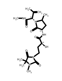 C=C(C)[C@@H](C(=O)NC)N1C(=O)[C@@H](NC(=O)[C@@H](S)CCN2C(=O)N(C)C(C)(C)C2=O)CC1C